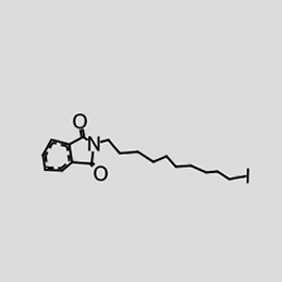 O=C1c2ccccc2C(=O)N1CCCCCCCCCCI